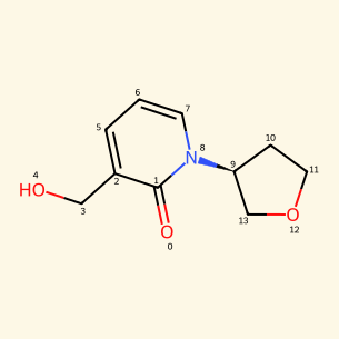 O=c1c(CO)cccn1[C@H]1CCOC1